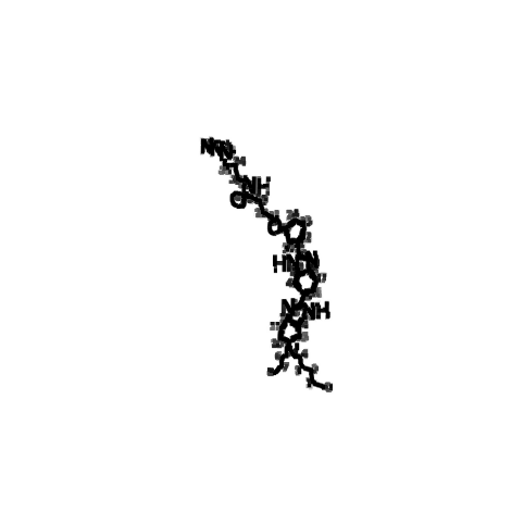 CCCCCN(CCC)c1ccc2nc(-c3ccc4nc(-c5cccc(OCCCC(=O)NCCCN=[N+]=[N-])c5)[nH]c4c3)[nH]c2c1